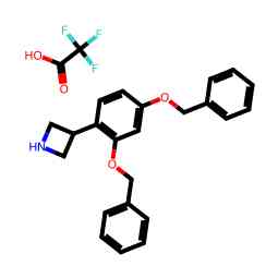 O=C(O)C(F)(F)F.c1ccc(COc2ccc(C3CNC3)c(OCc3ccccc3)c2)cc1